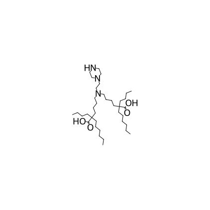 CCCCCCC(CCCC)(CCCCN(CCCCC(CCCC)(CCCCCC)C(=O)O)CCN1CCNCC1)C(=O)O